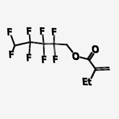 C=C(CC)C(=O)OCC(F)(F)C(F)(F)C(F)(F)C(F)F